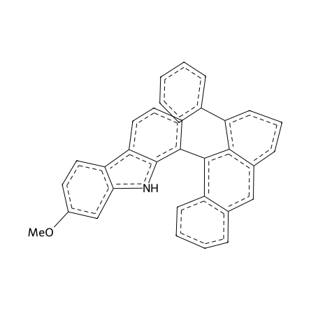 COc1ccc2c(c1)[nH]c1c(-c3c4ccccc4cc4cccc(-c5ccccc5)c34)cccc12